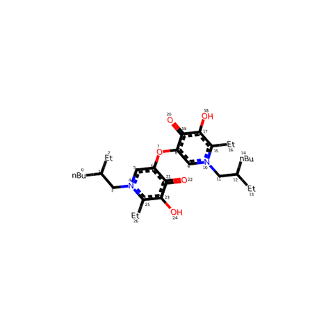 CCCCC(CC)Cn1cc(Oc2cn(CC(CC)CCCC)c(CC)c(O)c2=O)c(=O)c(O)c1CC